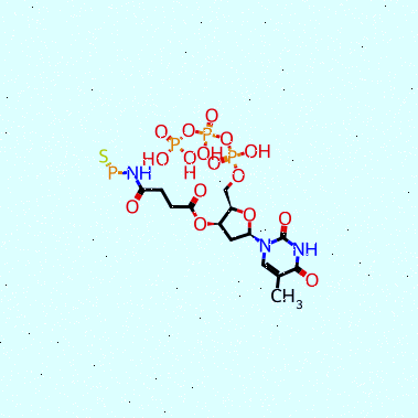 Cc1cn([C@H]2C[C@@H](OC(=O)CCC(=O)NP=S)[C@@H](COP(=O)(O)OP(=O)(O)OP(=O)(O)O)O2)c(=O)[nH]c1=O